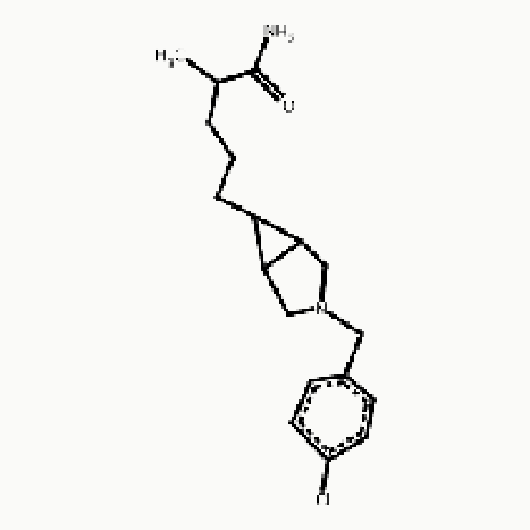 CC(CCCC1C2CN(Cc3ccc(Cl)cc3)CC12)C(N)=O